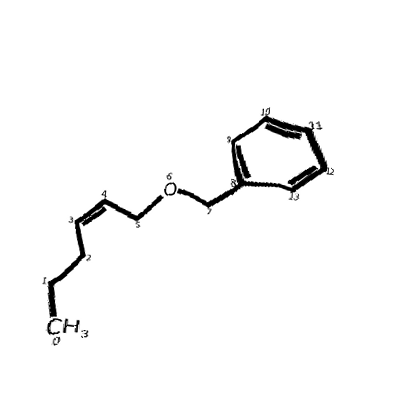 CCC/C=C\COCc1ccccc1